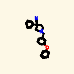 N#CC1(c2ccccc2)CCN(Cc2cccc(Oc3ccccc3)c2)CC1